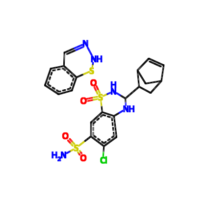 C1=NNSc2ccccc21.NS(=O)(=O)c1cc2c(cc1Cl)NC(C1CC3C=CC1C3)NS2(=O)=O